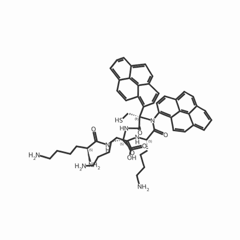 NCCCC[C@H](NC(=O)[C@@](CS)(c1ccc2ccc3cccc4ccc1c2c34)N(C(=O)[C@H](CCCCN)NC(=O)CNC(=O)[C@@H](N)CCCCN)c1ccc2ccc3cccc4ccc1c2c34)C(=O)O